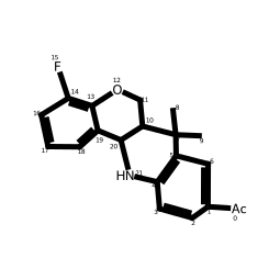 CC(=O)c1ccc2c(c1)C(C)(C)C1COc3c(F)cccc3C1N2